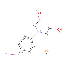 OCCN(CCO)c1ccc(CI)cc1.P